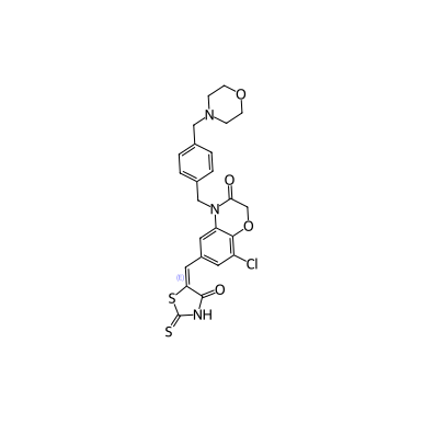 O=C1NC(=S)S/C1=C/c1cc(Cl)c2c(c1)N(Cc1ccc(CN3CCOCC3)cc1)C(=O)CO2